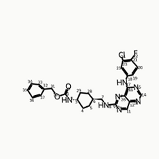 O=C(N[C@H]1CC[C@H](CNc2ncc3ncnc(Nc4ccc(F)c(Cl)c4)c3n2)CC1)OCc1ccccc1